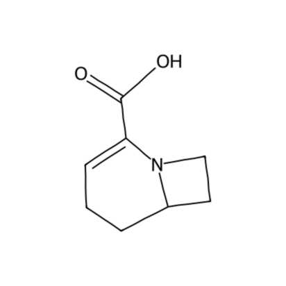 O=C(O)C1=CCCC2CCN12